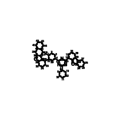 Clc1ccc(-c2nc(-c3ccccc3)nc(-c3cccc4c3oc3ccccc34)n2)cc1-c1cccc2oc3cc4ccccc4cc3c12